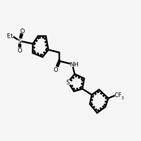 CCS(=O)(=O)c1ccc(CC(=O)Nc2cc(-c3cccc(C(F)(F)F)c3)cs2)cc1